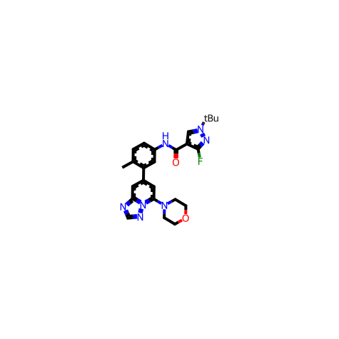 Cc1ccc(NC(=O)c2cn(C(C)(C)C)nc2F)cc1-c1cc(N2CCOCC2)n2ncnc2c1